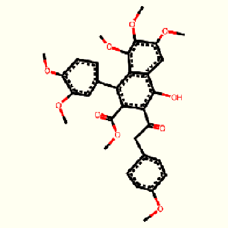 COC(=O)c1c(C(=O)Cc2ccc(OC)cc2)c(O)c2cc(OC)c(OC)c(OC)c2c1-c1ccc(OC)c(OC)c1